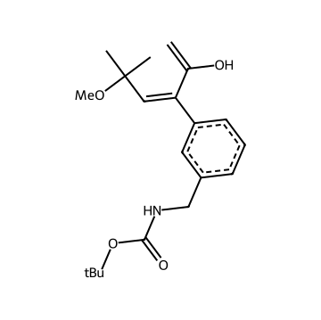 C=C(O)/C(=C\C(C)(C)OC)c1cccc(CNC(=O)OC(C)(C)C)c1